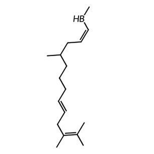 CB/C=C\CC(C)CCC/C=C/CC(C)=C(C)C